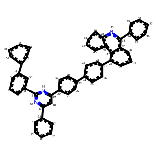 c1ccc(-c2cccc(-c3nc(-c4ccccc4)cc(-c4ccc(-c5ccc(-c6cccc7c(-c8ccccc8)nc8ccccc8c67)cc5)cc4)n3)c2)cc1